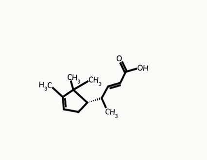 CC1=CC[C@@H](C(C)C=CC(=O)O)C1(C)C